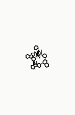 c1ccc(-c2nc(-c3ccccc3)nc(-c3cc(-n4c5ccccc5c5ccc(-c6cccc7ccccc67)cc54)cc4c3sc3ccccc34)n2)cc1